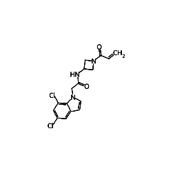 C=CC(=O)N1CC(NC(=O)Cn2ccc3cc(Cl)cc(Cl)c32)C1